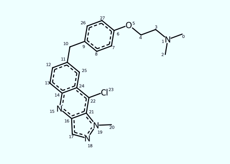 CN(C)CCOc1ccc(Cc2ccc3nc4cnn(C)c4c(Cl)c3c2)cc1